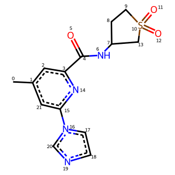 Cc1cc(C(=O)NC2CCS(=O)(=O)C2)nc(-n2ccnc2)c1